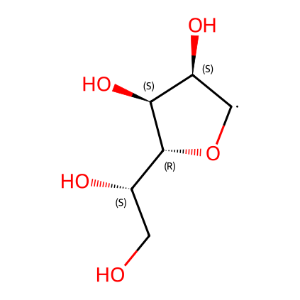 OC[C@H](O)[C@H]1O[CH][C@H](O)[C@@H]1O